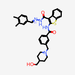 Cc1ccc(/C=N/NC(=O)c2c(NC(=O)c3cccc(CN4CCC(CO)CC4)c3)sc3ccccc23)cc1C